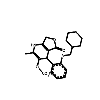 CCOC(=O)OC1=C(C)NC2=C(C(=O)OC2)C1c1ccccc1SCC1CCCCC1